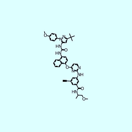 C#Cc1cc(Nc2nccc(Oc3ccc(NC(=O)Nc4cc(C(C)(C)C)nn4-c4ccc(OC)cc4)c4ccccc34)n2)cc(C(=O)NC(C)COC)c1